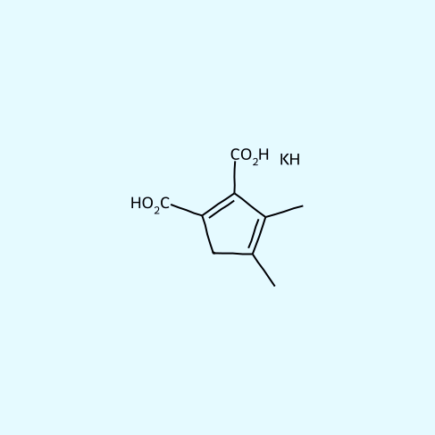 CC1=C(C)C(C(=O)O)=C(C(=O)O)C1.[KH]